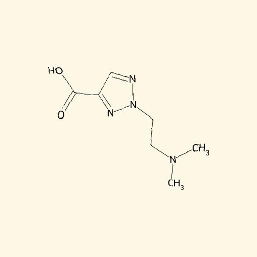 CN(C)CCn1ncc(C(=O)O)n1